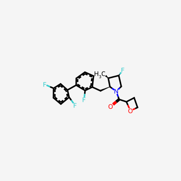 C[C@H]1[C@@H](F)CN(C(=O)C2CCO2)[C@H]1Cc1cccc(-c2cc(F)ccc2F)c1F